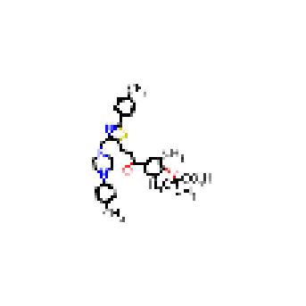 Cc1ccc(N2CCN(Cc3nc(-c4ccc(C(F)(F)F)cc4)sc3CCC(=O)c3ccc(OC(C)(C)C(=O)O)c(C)c3)CC2)cc1